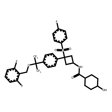 O=C(NC1CC(c2ccc(C(OCc3c(F)cccc3F)(C(F)(F)F)C(F)(F)F)cc2)(S(=O)(=O)c2ccc(F)cc2)C1)C1CCC(O)CC1